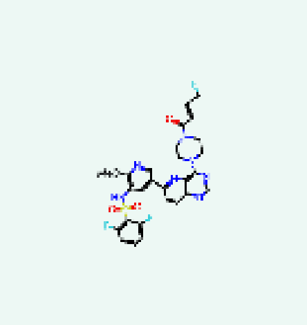 COc1ncc(-c2ccc3ncnc(N4CCN(C(=O)/C=C/CF)CC4)c3n2)cc1NS(=O)(=O)c1c(F)cccc1F